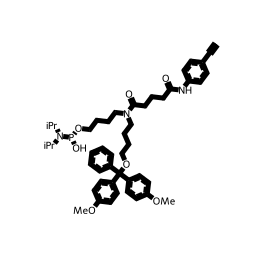 C#Cc1ccc(NC(=O)CCCC(=O)N(CCCCOP(O)N(C(C)C)C(C)C)CCCCOC(c2ccccc2)(c2ccc(OC)cc2)c2ccc(OC)cc2)cc1